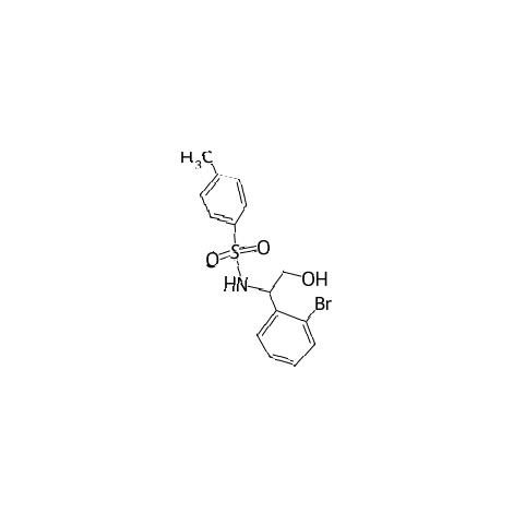 Cc1ccc(S(=O)(=O)NC(CO)c2ccccc2Br)cc1